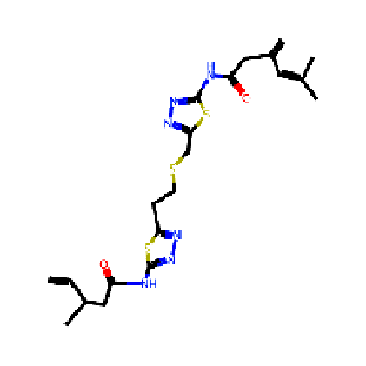 C=CC(C)CC(=O)Nc1nnc(CCSCc2nnc(NC(=O)CC(=C)C=C(C)C)s2)s1